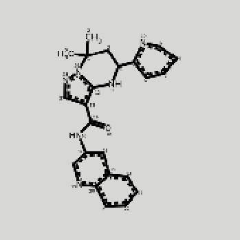 CC1(C)CC(c2ccccn2)Nc2c(C(=O)Nc3cnc4ccccc4c3)cnn21